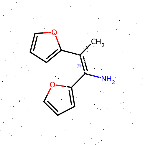 C/C(=C(\N)c1ccco1)c1ccco1